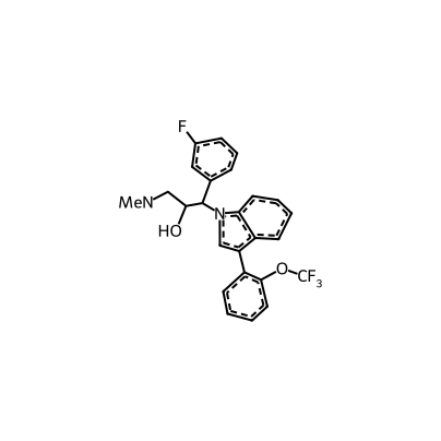 CNCC(O)C(c1cccc(F)c1)n1cc(-c2ccccc2OC(F)(F)F)c2ccccc21